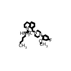 CCCCCNC(=O)N1CCCc2cccc(C(C)N3CCN(c4ccc(F)cc4OC)CC3)c21